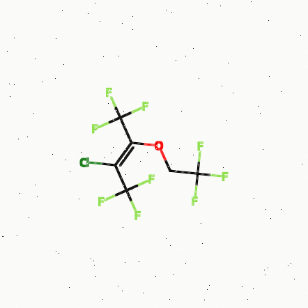 FC(F)(F)COC(=C(Cl)C(F)(F)F)C(F)(F)F